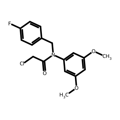 COc1cc(OC)cc(N(Cc2ccc(F)cc2)C(=O)CCl)c1